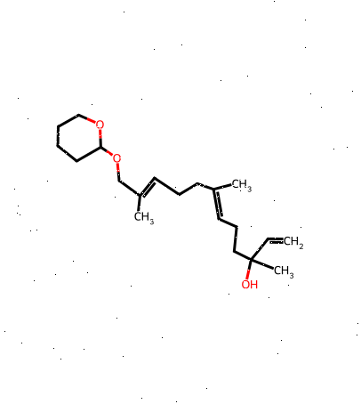 C=CC(C)(O)CCC=C(C)CCC=C(C)COC1CCCCO1